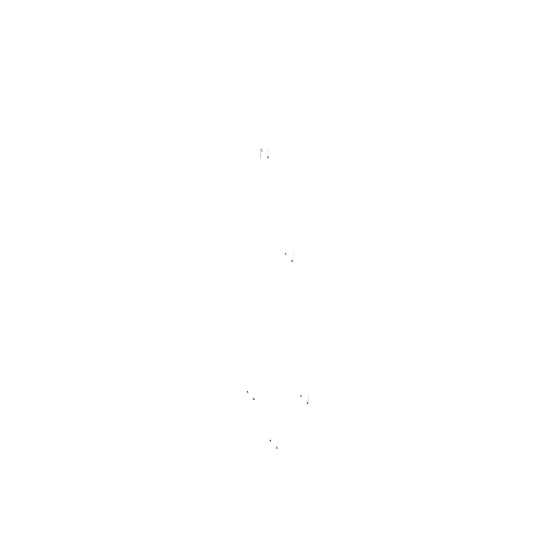 c1ccc(-c2nc(-c3ccccc3)nc(-c3ccc(-n4c5ccccc5c5c4ccc4c6ccccc6n(-c6cccc7ccccc67)c45)cc3)n2)cc1